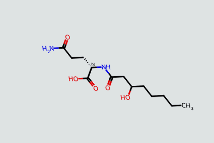 CCCCCC(O)CC(=O)N[C@@H](CCC(N)=O)C(=O)O